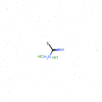 Cl.Cl.N=[C](N)[Ti]